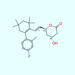 Cc1cc(F)ccc1C1=C(/C=C/[C@@H]2C[C@@H](O)CC(=O)O2)C(C)(C)CC(C)(C)C1